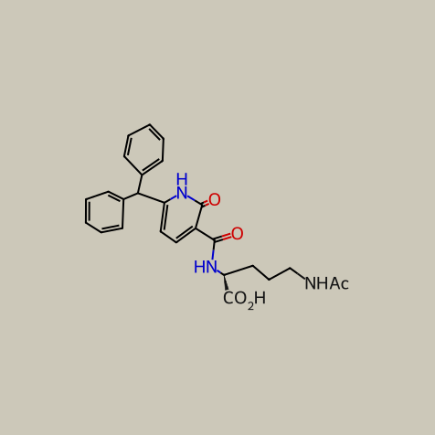 CC(=O)NCCC[C@H](NC(=O)c1ccc(C(c2ccccc2)c2ccccc2)[nH]c1=O)C(=O)O